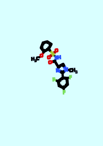 COc1ccccc1S(=O)(=O)NC(=O)c1cn(C)c(-c2c(F)cc(F)cc2F)n1